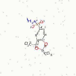 NS(=O)(=O)c1ccc2c(c1)C(C(Cl)(Cl)Cl)OC(C(Cl)(Cl)Cl)O2